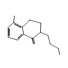 CCCCC1CCc2c(O)cccc2C1=O